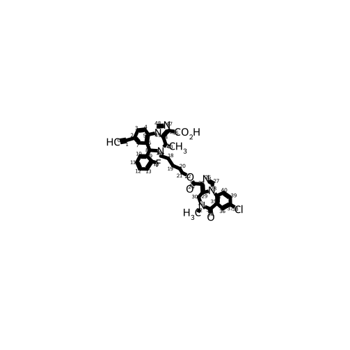 C#Cc1ccc2c(c1)C(c1ccccc1F)N(CCCCCOC(=O)c1ncn3c1CN(C)C(=O)c1cc(Cl)ccc1-3)[C@@H](C)c1c(C(=O)O)ncn1-2